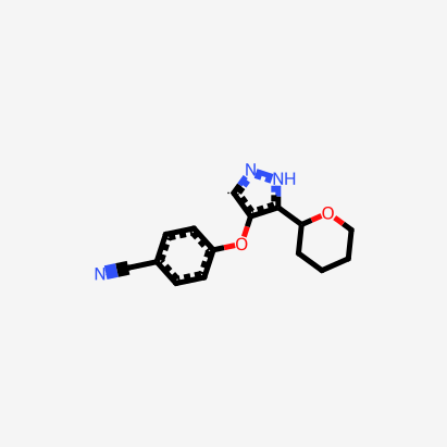 N#Cc1ccc(Oc2[c]n[nH]c2C2CCCCO2)cc1